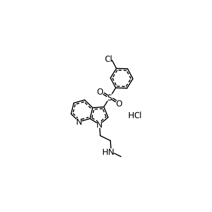 CNCCn1cc(S(=O)(=O)c2cccc(Cl)c2)c2cccnc21.Cl